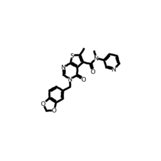 Cc1sc2ncn(Cc3ccc4c(c3)OCO4)c(=O)c2c1C(=O)N(C)c1cccnc1